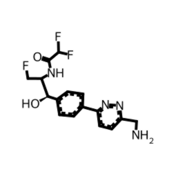 NCc1ccc(-c2ccc([C@@H](O)C(CF)NC(=O)C(F)F)cc2)nn1